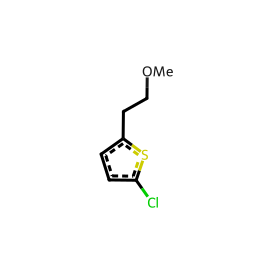 COCCc1ccc(Cl)s1